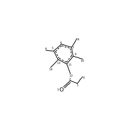 CCC=O.Cc1cc(C)c(C)c(C)c1C